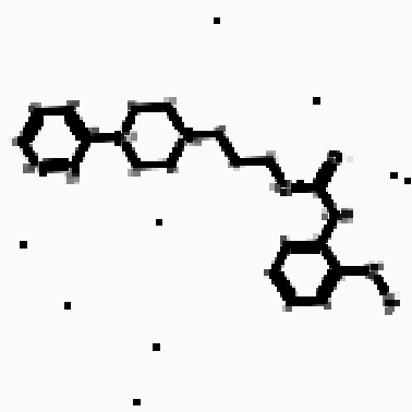 CCOc1ccccc1NC(=O)OCCCN1CCN(c2cccnn2)CC1